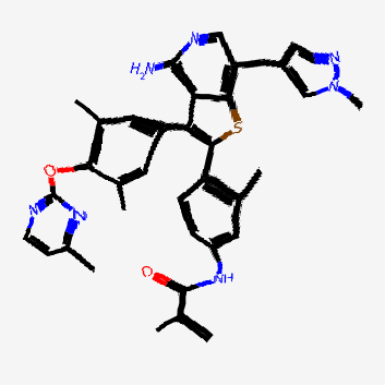 C=C(C)C(=O)Nc1ccc(-c2sc3c(-c4cnn(C)c4)cnc(N)c3c2-c2cc(C)c(Oc3nccc(C)n3)c(C)c2)c(C)c1